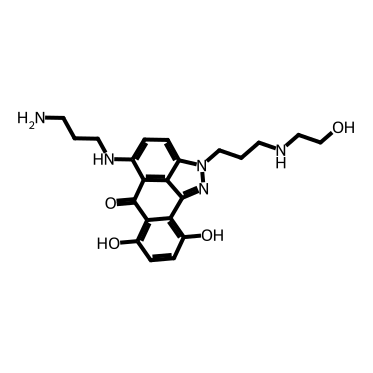 NCCCNc1ccc2c3c(nn2CCCNCCO)-c2c(O)ccc(O)c2C(=O)c13